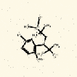 COc1ccc(Br)cc1[C@@H](CC(C)(C)[S+](N)[O-])C(C)(C)O